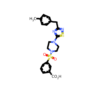 Cc1ccc(Cc2nsc(N3CCN(S(=O)(=O)c4cccc(C(=O)O)c4)CC3)n2)cc1